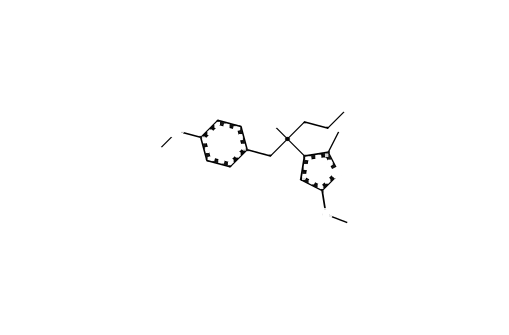 CCCC(O)(Cc1ccc(OC)cc1)c1cc(OC)sc1C